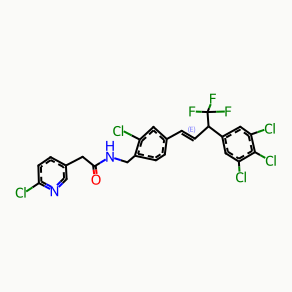 O=C(Cc1ccc(Cl)nc1)NCc1ccc(/C=C/C(c2cc(Cl)c(Cl)c(Cl)c2)C(F)(F)F)cc1Cl